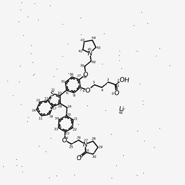 O=C(O)CCCOc1cc(-c2sc3ccccc3c2Cc2ccc(OCCN3CCCC3=O)cc2)ccc1OCCN1CCCC1.[Li]